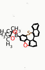 CC1(C)OB(c2cc3oc4cccc5c6ccc7ccccc7c6sc(c2)c3c45)OC1(C)C